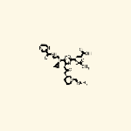 CC(=O)O[C@@H](CCC(=O)O)C(=O)N[C@@H](CC(=O)C[C@@H]1CCCN(C=NN)C1)C(=O)N(CCNC(=O)c1cnccn1)C1CC1